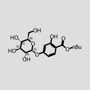 CCCCOC(=O)c1ccc(O[C@@H]2O[C@H](CO)[C@@H](O)[C@H](O)[C@H]2O)cc1O